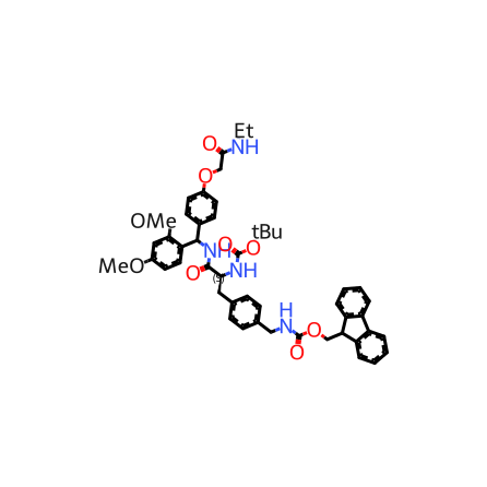 CCNC(=O)COc1ccc(C(NC(=O)[C@H](Cc2ccc(CNC(=O)OCC3c4ccccc4-c4ccccc43)cc2)NC(=O)OC(C)(C)C)c2ccc(OC)cc2OC)cc1